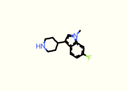 Cn1cc(C2CCNCC2)c2ccc(F)cc21